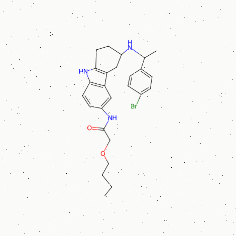 CCCCOCC(=O)Nc1ccc2[nH]c3c(c2c1)CC(NC(C)c1ccc(Br)cc1)CC3